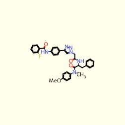 COc1ccc(N(C)C(=O)C(Cc2ccccc2)NC(=O)Cn2cc(-c3ccc(NC(=O)c4ccccc4F)cc3)nn2)cc1